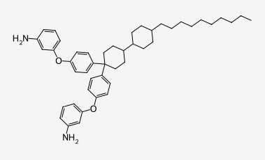 CCCCCCCCCCC1CCC(C2CCC(c3ccc(Oc4cccc(N)c4)cc3)(c3ccc(Oc4cccc(N)c4)cc3)CC2)CC1